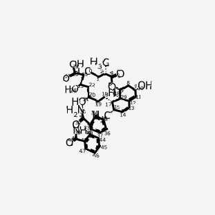 CC[C@H](C)C(=O)O[C@H]1C[C@H](O)C=C2C=C[C@H](C)[C@H](CC[C@@H](O)C[C@@H](O)CC(=O)O)[C@H]21.NC(=O)c1ccccc1.NC(=O)c1ccccc1